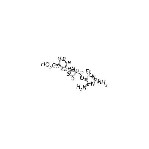 CCc1nc(N)nc(N)c1OCc1csc(-c2cccc(C(=O)O)c2)n1